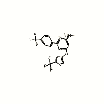 CNc1cc(Oc2csc(C(F)(F)F)c2)nc(-c2ccc(C(F)(F)F)cc2)n1